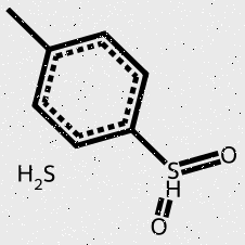 Cc1ccc([SH](=O)=O)cc1.S